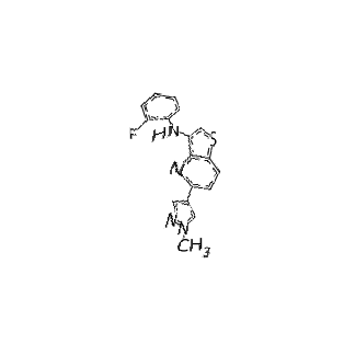 Cn1cc(-c2ccc3scc(Nc4ccccc4F)c3n2)cn1